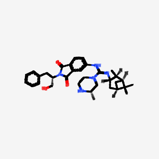 C[C@@H]1[C@@H](/N=C(/Nc2ccc3c(c2)C(=O)N([C@H](CO)Cc2ccccc2)C3=O)N2CCN[C@@H](C)C2)C[C@H]2C[C@@H]1C2(C)C